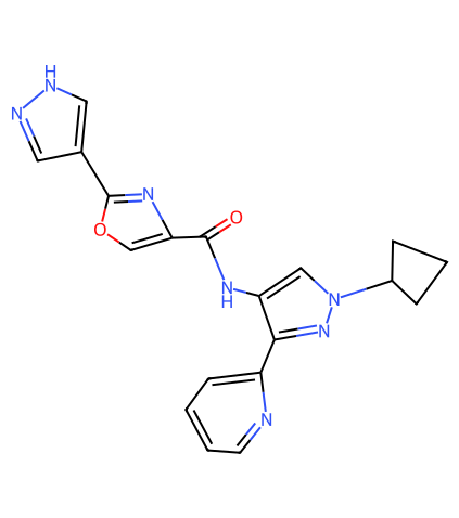 O=C(Nc1cn(C2CCC2)nc1-c1ccccn1)c1coc(-c2cn[nH]c2)n1